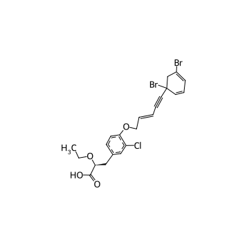 CCO[C@@H](Cc1ccc(OC/C=C/C#CC2(Br)C=CC=C(Br)C2)c(Cl)c1)C(=O)O